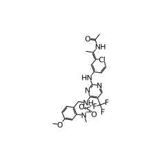 C\C=C/C(=C\C(Cl)=C(/C)NC(C)=O)Nc1ncc(C(F)(F)F)c(NCc2ccc(OC)cc2N(C)S(C)(=O)=O)n1